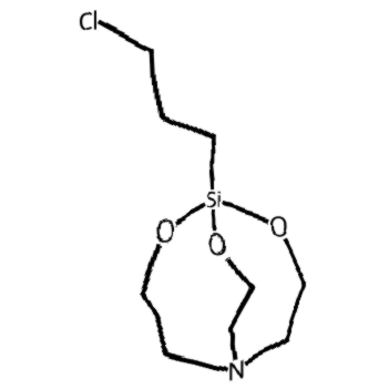 ClCCC[Si]12OCCN(CCO1)CCO2